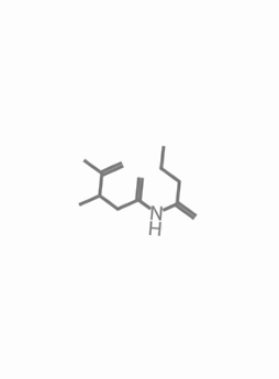 C=C(CCC)NC(=C)CC(C)C(=C)C